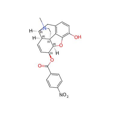 CN1CC[C@]23c4c5ccc(O)c4O[C@H]2[C@@H](OC(=O)c2ccc([N+](=O)[O-])cc2)C=C[C@H]3[C@H]1C5